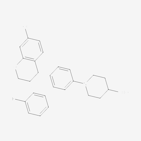 O=CC1CCN(c2ccc([C@H]3c4ccc(O)cc4OC[C@H]3c3ccccc3F)cc2)CC1